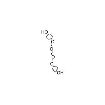 Oc1ccc(OCCOCCOCCOc2ccc(O)cc2)cc1